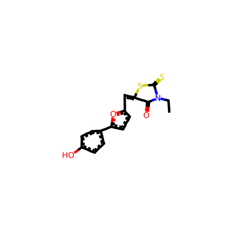 CCN1C(=O)/C(=C\c2ccc(-c3ccc(O)cc3)o2)SC1=S